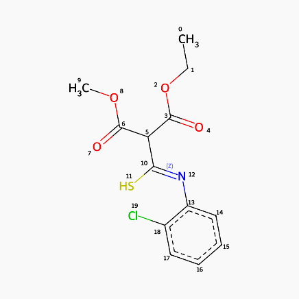 CCOC(=O)C(C(=O)OC)/C(S)=N/c1ccccc1Cl